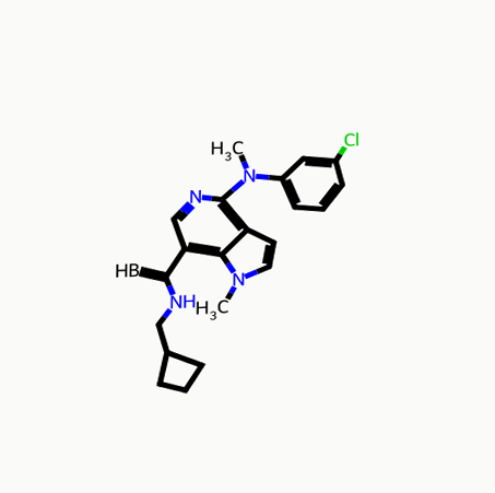 B=C(NCC1CCC1)c1cnc(N(C)c2cccc(Cl)c2)c2ccn(C)c12